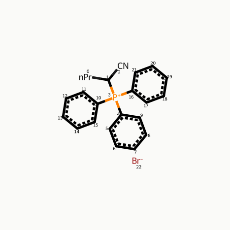 CCCC(C#N)[P+](c1ccccc1)(c1ccccc1)c1ccccc1.[Br-]